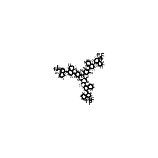 CC1=CC(c2ccc(-c3ccc(C(F)(F)F)c4ccccc34)c3ccccc23)=C(C)CC1N(c1cc(C)c(-c2ccc(-c3ccc(C(F)(F)F)c4ccccc34)c3ccccc23)cc1C)c1cc(C)c(-c2ccc(-c3ccc(C(F)(F)F)c4ccccc34)c3ccccc23)cc1C